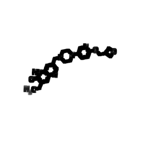 CCc1cc2ncc(CN3CCN(c4ccc(OCC5COC5)nc4)CC3)cc2[nH]c1=O